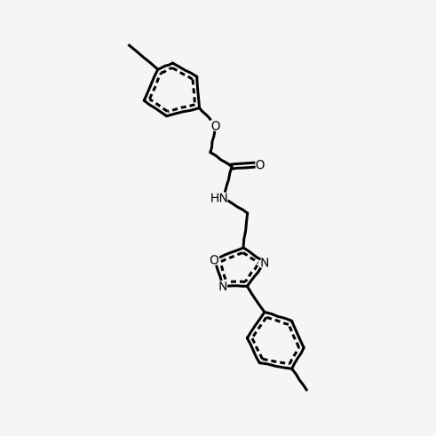 Cc1ccc(OCC(=O)NCc2nc(-c3ccc(C)cc3)no2)cc1